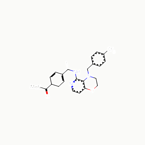 CNC(=O)C1C=CC([C@H](C)Nc2nccc3c2N(Cc2ccc(C(F)(F)F)cc2)CCO3)=CC1